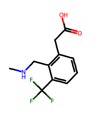 CNCc1c(CC(=O)O)cccc1C(F)(F)F